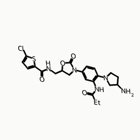 CCC(=O)Nc1cc(N2CC(CNC(=O)c3ccc(Cl)s3)OC2=O)ccc1N1CCC(N)C1